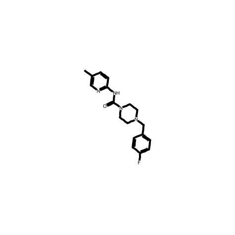 Cc1ccc(NC(=O)N2CCN(Cc3ccc(F)cc3)CC2)nc1